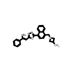 CCCC/C(=C\c1nnc(-c2ccc(CN3CC(C)C3)c3ccccc23)o1)c1ccccc1